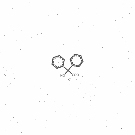 O=C([O-])C(O)(c1ccccc1)c1ccccc1.[K+]